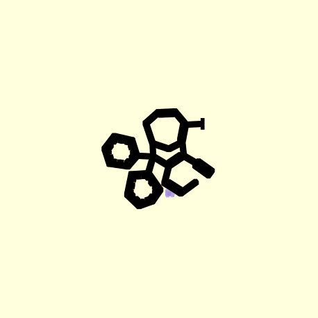 C#CC1=C(/C=C\C)C(c2ccccc2)(c2ccccc2)C2CC=CC(I)=C1C2